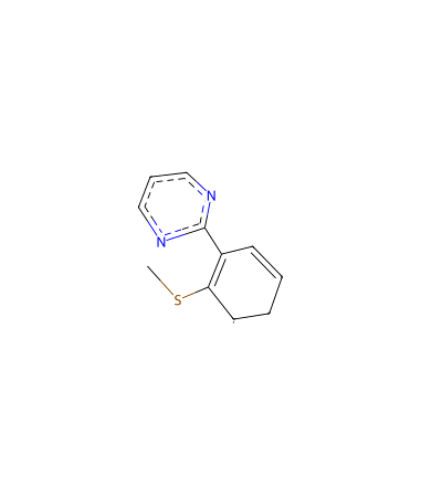 CSC1=C(c2ncccn2)C=CC[CH]1